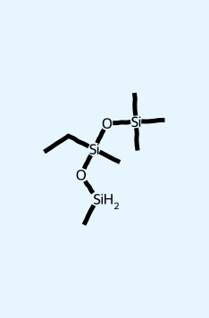 CC[Si](C)(O[SiH2]C)O[Si](C)(C)C